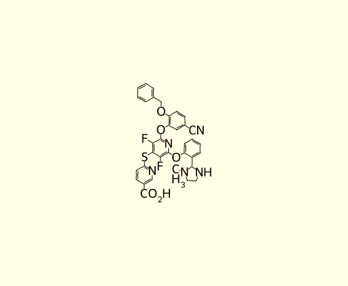 CN1CCNC1c1ccccc1Oc1nc(Oc2cc(C#N)ccc2OCc2ccccc2)c(F)c(Sc2ccc(C(=O)O)cn2)c1F